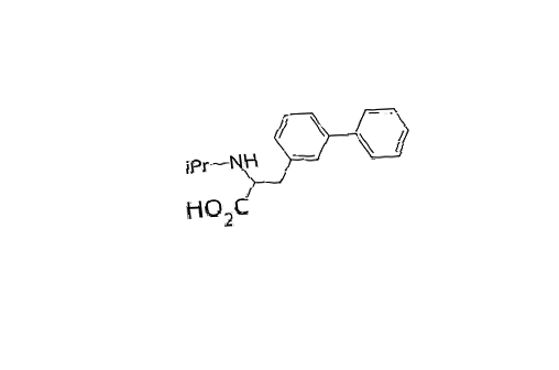 CC(C)NC(Cc1cccc(-c2ccccc2)c1)C(=O)O